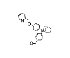 O=Cc1ccc([C@@]2(c3ccc(OCc4ccccn4)cc3)CC3CCC2C3)cc1